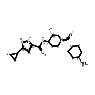 C[C@@H]1CN(C(=O)[C@H]2CC[C@H](N)CC2)CCC1NC(=O)c1cc(C2CC2)on1